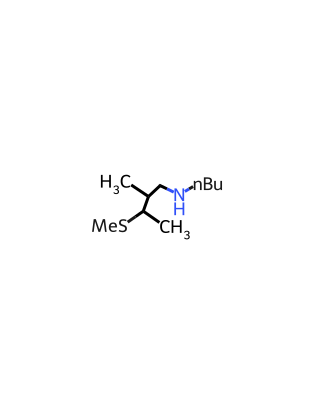 CCCCNCC(C)C(C)SC